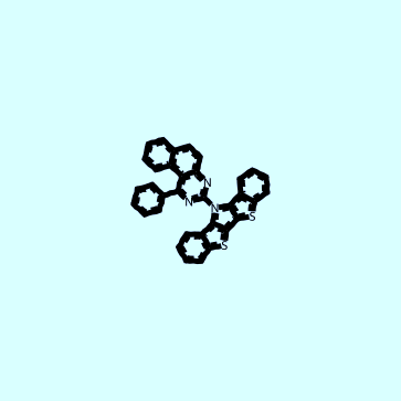 c1ccc(-c2nc(-n3c4c5ccccc5sc4c4sc5ccccc5c43)nc3ccc4ccccc4c23)cc1